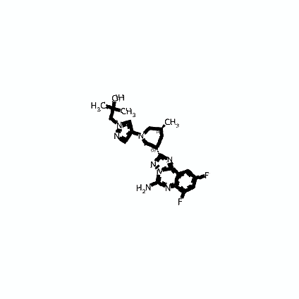 C[C@H]1C[C@H](c2nc3c4cc(F)cc(F)c4nc(N)n3n2)CN(c2cnn(CC(C)(C)O)c2)C1